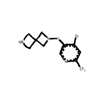 CCc1cc(C(F)(F)F)ncc1SN1CC2(CNC2)C1